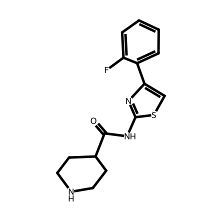 O=C(Nc1nc(-c2ccccc2F)cs1)C1CCNCC1